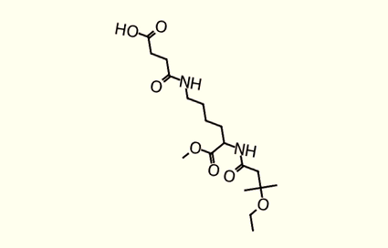 CCOC(C)(C)CC(=O)NC(CCCCNC(=O)CCC(=O)O)C(=O)OC